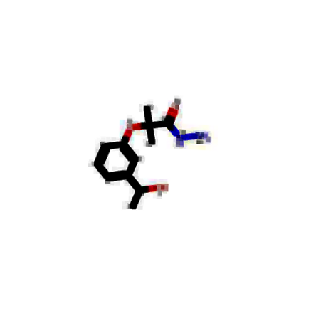 CC(O)c1cccc(OC(C)(C)C(=O)NN)c1